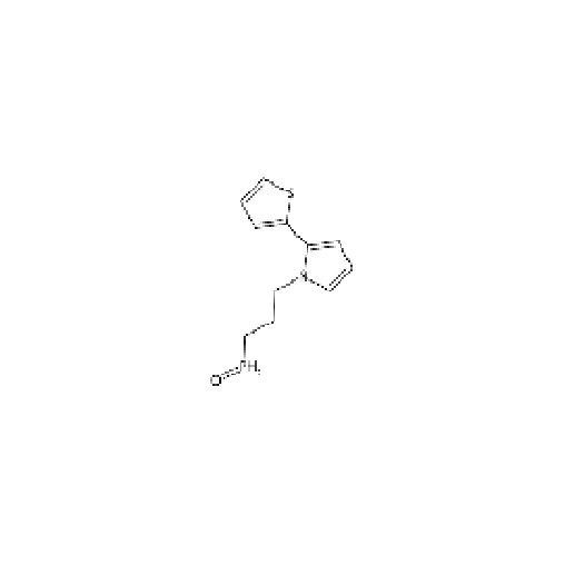 O=[PH2]CCCn1cccc1-c1cccs1